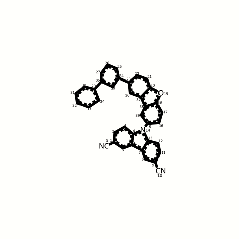 N#Cc1ccc2c(c1)c1cc(C#N)ccc1n2-c1ccc2oc3ccc(-c4cccc(-c5ccccc5)c4)cc3c2c1